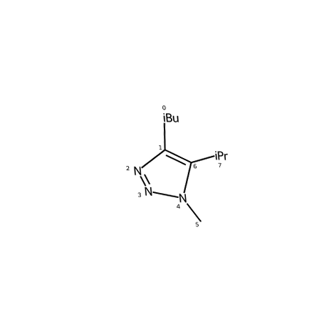 CCC(C)c1nnn(C)c1C(C)C